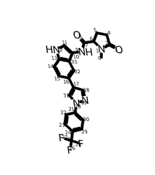 CN1C(=O)CCC1C(=O)Nc1c[nH]c2ccc(-c3cnn(-c4ccc(C(F)(F)F)cc4)c3)cc12